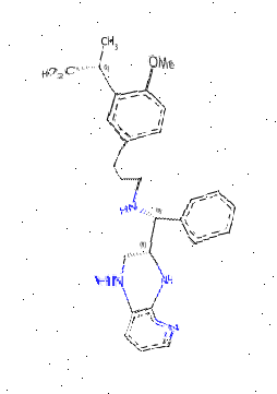 COc1ccc(CCN[C@H](c2ccccc2)[C@H]2CNc3cccnc3N2)cc1[C@@H](C)C(=O)O